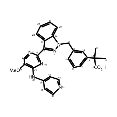 COc1cnc(-c2nn(Cc3cccc(C(C)(C)C(=O)O)c3)c3ccccc23)nc1Nc1ccncc1